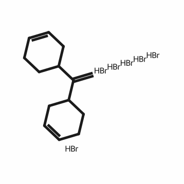 Br.Br.Br.Br.Br.Br.C=C(C1CC=CCC1)C1CC=CCC1